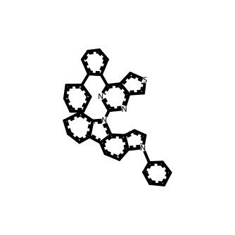 c1ccc(-c2ccccc2-c2nc(-n3c4ccccc4c4ccc5c(ccn5-c5ccccc5)c43)nc3cscc23)cc1